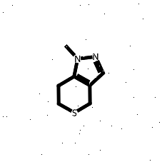 Cn1ncc2c1CCSC2